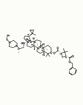 CC(C)SN1CCN([C@@H](C)CN[C@]23CC[C@@H](C4(C)CC4)[C@@H]2[C@H]2CC[C@@H]4[C@@]5(C)CC[C@H](OC(=O)[C@H]6C[C@@H](C(=O)OCc7ccccc7)C6(C)C)C(C)(C)[C@@H]5CC[C@@]4(C)[C@]2(C)CC3)CC1